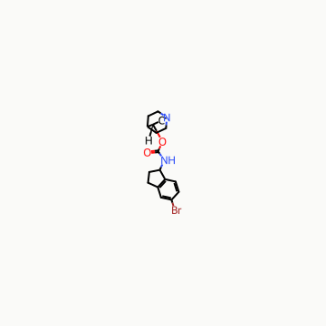 O=C(NC1CCc2cc(Br)ccc21)O[C@H]1CN2CCC1CC2